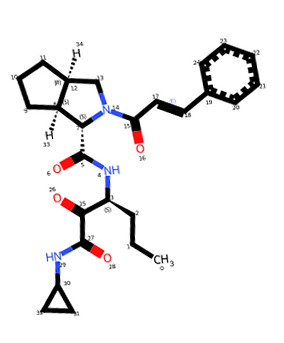 CCC[C@H](NC(=O)[C@@H]1[C@H]2CCC[C@H]2CN1C(=O)/C=C/c1ccccc1)C(=O)C(=O)NC1CC1